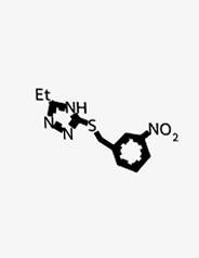 CCc1nnc(SCc2cccc([N+](=O)[O-])c2)[nH]1